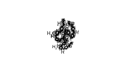 Cc1cnc(Nc2ccc(C(=O)NC3CCC3)cc2)cc1Nc1ccc2oc(=O)n(COP(=O)(OCn3c(=O)oc4ccc(Nc5cc(Nc6ccc(C(=O)NC7CCC7)cc6)ncc5C)cc43)OCn3c(=O)oc4ccc(Nc5cc(Nc6ccc(C(=O)NC7CCC7)cc6)ncc5C)cc43)c2c1